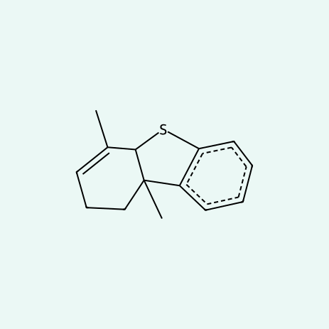 CC1=CCCC2(C)c3ccccc3SC12